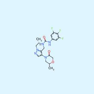 CC1CN(c2cnn3c2CN(C(=O)Nc2cc(F)c(F)c(F)c2)[C@@H](C)C3)C(=O)CO1